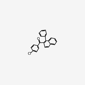 O=C(c1ccc(Cl)cc1)c1ccc2ccccc2c1-c1ccccc1